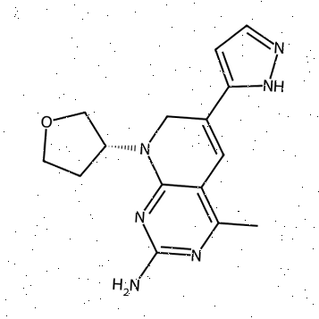 Cc1nc(N)nc2c1C=C(c1ccn[nH]1)CN2[C@@H]1CCOC1